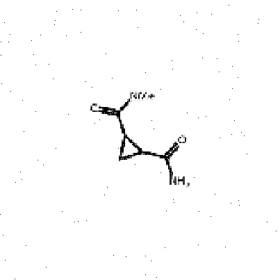 CNC(=O)C1CC1C(N)=O